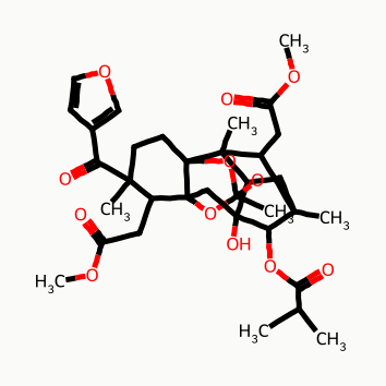 COC(=O)CC1C(C)(C(=O)c2ccoc2)CCC23OC4(C)OC12CC1(O)C(OC(=O)C(C)C)C2(C)CC1(O4)C3(C)C2CC(=O)OC